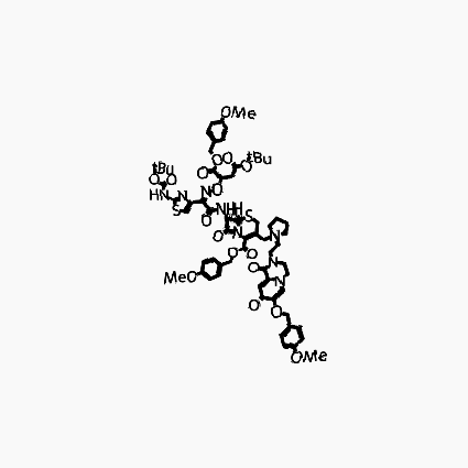 COc1ccc(COC(=O)C2=C(C[N+]3(CCN4CCn5cc(OCc6ccc(OC)cc6)c(=O)cc5C4=O)CCCC3)CS[C@@H]3[C@H](NC(=O)C(=NOC(CC(=O)OC(C)(C)C)C(=O)OCc4ccc(OC)cc4)c4csc(NC(=O)OC(C)(C)C)n4)C(=O)N23)cc1